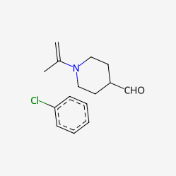 C=C(C)N1CCC(C=O)CC1.Clc1ccccc1